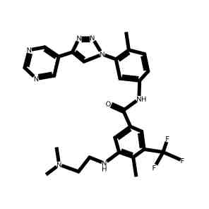 Cc1ccc(NC(=O)c2cc(NCCN(C)C)c(C)c(C(F)(F)F)c2)cc1-n1cc(-c2cncnc2)nn1